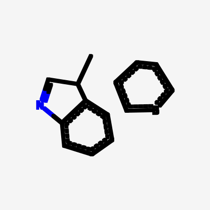 CC1C=Nc2ccccc21.b1ccccc1